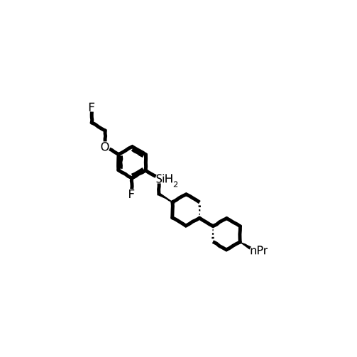 CCC[C@H]1CC[C@H]([C@H]2CC[C@H](C[SiH2]c3ccc(OCCF)cc3F)CC2)CC1